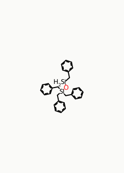 c1ccc(C[SiH2]O[Si](Cc2ccccc2)(Cc2ccccc2)Cc2ccccc2)cc1